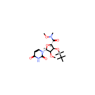 COC1C(O[Si](C)(C)C(C)(C)C)[C@@H](C(=O)N(C)OC)O[C@H]1n1ccc(=O)[nH]c1=O